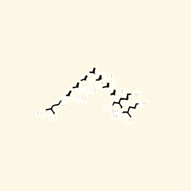 C=C(C)C(=O)O.C=C(C)C(=O)O.C=C(C)C(=O)O.C=C(C)C(=O)O.C=C(C)C(=O)O.C=C(C)C(=O)O.C=C(C)C(=O)O.OCCCC(CO)CO.OCCCC(CO)CO.OCCCC(CO)CO